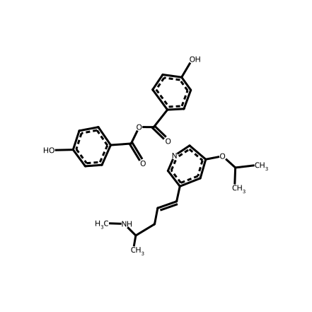 CNC(C)CC=Cc1cncc(OC(C)C)c1.O=C(OC(=O)c1ccc(O)cc1)c1ccc(O)cc1